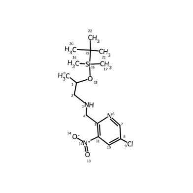 CC(CNCc1ncc(Cl)cc1[N+](=O)[O-])O[Si](C)(C)C(C)(C)C